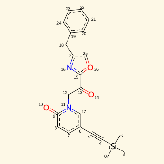 C[Si](C)(C)C#Cc1ccc(=O)n(CC(=O)c2nc(Cc3ccccc3)co2)c1